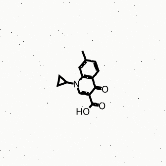 Cc1ccc2c(=O)c(C(=O)O)cn(C3CC3)c2c1